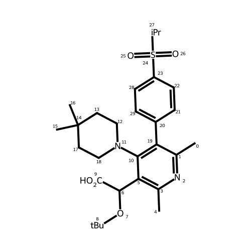 Cc1nc(C)c(C(OC(C)(C)C)C(=O)O)c(N2CCC(C)(C)CC2)c1-c1ccc(S(=O)(=O)C(C)C)cc1